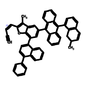 C#C/C=C\c1oc2c(-c3ccc(-c4ccccc4)c4ccccc34)cc(-c3c4ccccc4c(-c4cccc5c4CC(C)C=C5)c4ccccc34)cc2c1C